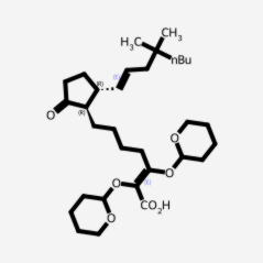 CCCCC(C)(C)C/C=C/[C@H]1CCC(=O)[C@@H]1CCCC/C(OC1CCCCO1)=C(\OC1CCCCO1)C(=O)O